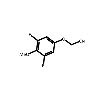 COc1c(F)cc(OCC#N)cc1F